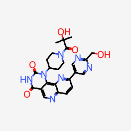 CC(C)(O)C(=O)N1CCC(n2c(=O)[nH]c(=O)c3cnc4ccc(-c5cnc(CO)nc5)nc4c32)CC1